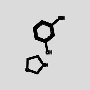 C1COCN1.Oc1cccc(O)c1